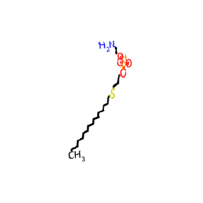 CCCCCCCCCCCCCCCCSCCCO[PH](=O)OOCCN